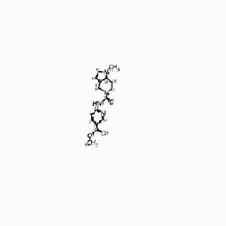 COC(=O)c1ccc(NC(=O)N2CCc3c(ccn3C)C2)nc1